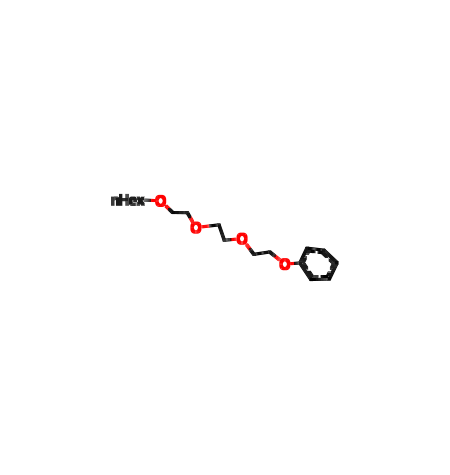 CCCCCCOCCOCCOCCOc1ccccc1